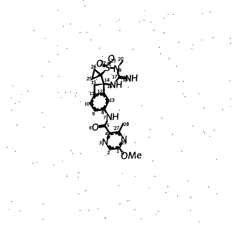 COc1cnc(C(=O)Nc2ccc3c(c2)[C@@]2(C3)NC(=N)N(C)S(=O)(=O)C23CC3)c(C)n1